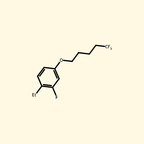 CCc1ccc(OCCCCC(F)(F)F)cc1F